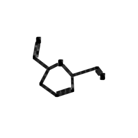 S=CC1C=CCC(C=S)S1